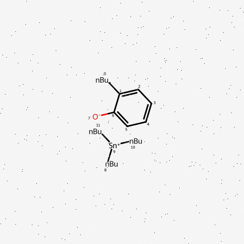 CCCCc1ccccc1[O-].CCC[CH2][Sn+]([CH2]CCC)[CH2]CCC